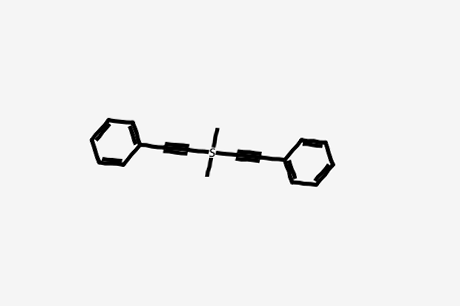 CS(C)(C#Cc1ccccc1)C#Cc1ccccc1